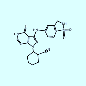 N#CC1CCCCC1n1nc(Nc2ccc3c(c2)CNS3(=O)=O)c2c(=O)[nH]ccc21